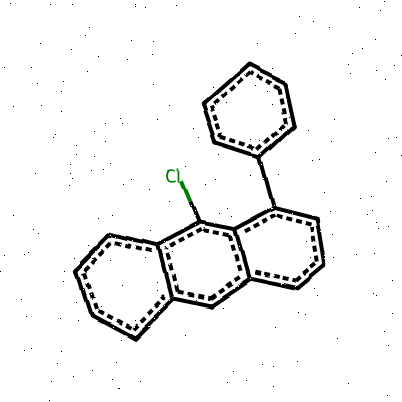 Clc1c2ccccc2cc2cccc(-c3ccccc3)c12